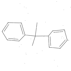 CC(C)(c1cc[c]cc1)c1ccccc1